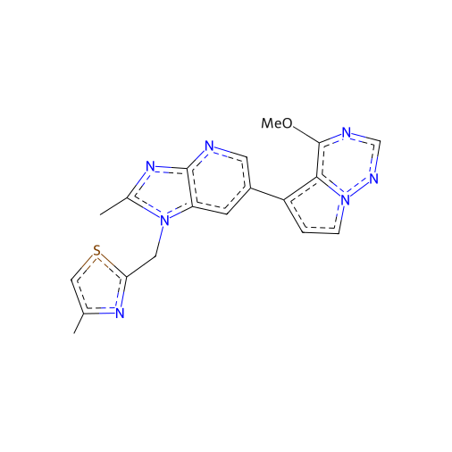 COc1ncnn2ccc(-c3cnc4nc(C)n(Cc5nc(C)cs5)c4c3)c12